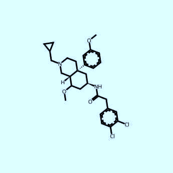 COc1cccc([C@@]23CCN(CC4CC4)C[C@H]2C(OC)C[C@H](NC(=O)Cc2ccc(Cl)c(Cl)c2)C3)c1